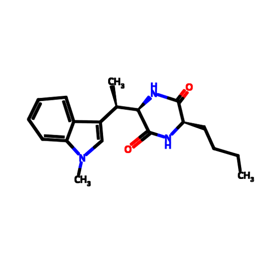 CCCC[C@H]1NC(=O)[C@@H]([C@H](C)c2cn(C)c3ccccc23)NC1=O